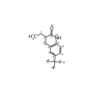 CCC1Sc2cc(C(F)(F)F)ccc2NC1=O